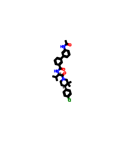 CC(=O)Nc1cccc(-c2cccc(C(=O)N[C@@H](C(=O)N3CC[C@H](c4ccc(Cl)cc4)C(C)(C)C3)C(C)C)c2)c1